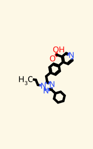 CCCn1nc(C2CCCCC2)nc1Cc1ccc(-c2ccncc2C(=O)O)cc1